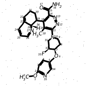 COc1ccc(O[C@@H]2CCN(c3nnc(C(N)=O)c(C4CCC=C5C=CC=N[C@H]54)c3C)C[C@@H]2F)cn1